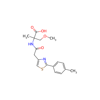 COCC(C)(NC(=O)Cc1csc(-c2ccc(C)cc2)n1)C(=O)O